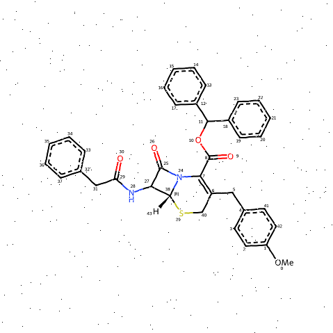 COc1ccc(CC2=C(C(=O)OC(c3ccccc3)c3ccccc3)N3C(=O)C(NC(=O)Cc4ccccc4)[C@H]3SC2)cc1